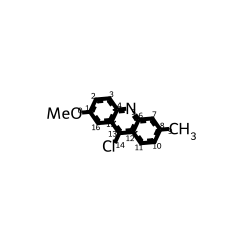 COc1ccc2nc3cc(C)ccc3c(Cl)c2c1